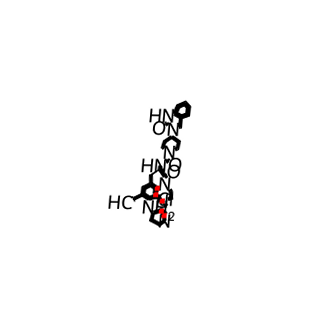 C#Cc1cc(C[C@@H](NC(=O)N2CCC(N3Cc4ccccc4NC3=O)CC2)C(=O)N2CCN(C3CN4CCC3CC4)CC2)cc(Cl)c1N